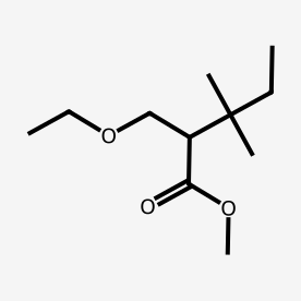 CCOCC(C(=O)OC)C(C)(C)CC